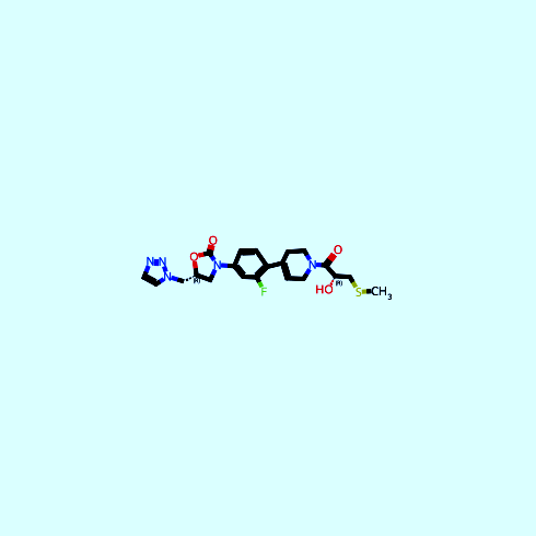 CSC[C@H](O)C(=O)N1CC=C(c2ccc(N3C[C@H](Cn4ccnn4)OC3=O)cc2F)CC1